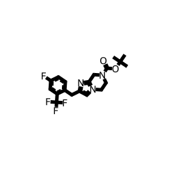 CC(C)(C)OC(=O)N1CCn2cc(Cc3ccc(F)cc3C(F)(F)F)nc2C1